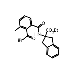 CCOC(=O)C1(NC(=O)c2cccc(C)c2C(=O)C(C)C)Cc2ccccc2C1